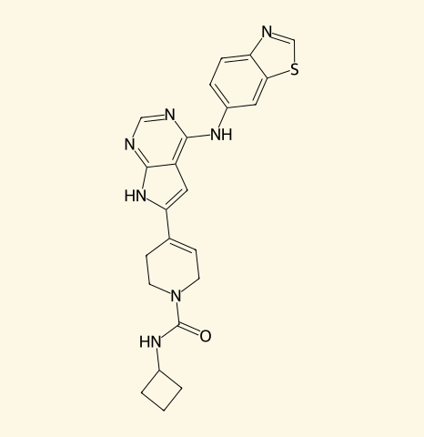 O=C(NC1CCC1)N1CC=C(c2cc3c(Nc4ccc5ncsc5c4)ncnc3[nH]2)CC1